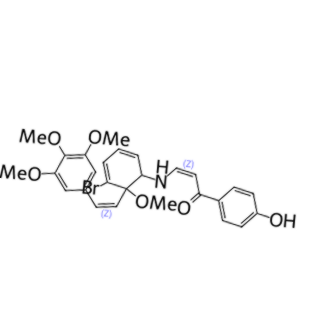 COc1cc(/C=C\C2(OC)C(Br)=CC=CC2N/C=C\C(=O)c2ccc(O)cc2)cc(OC)c1OC